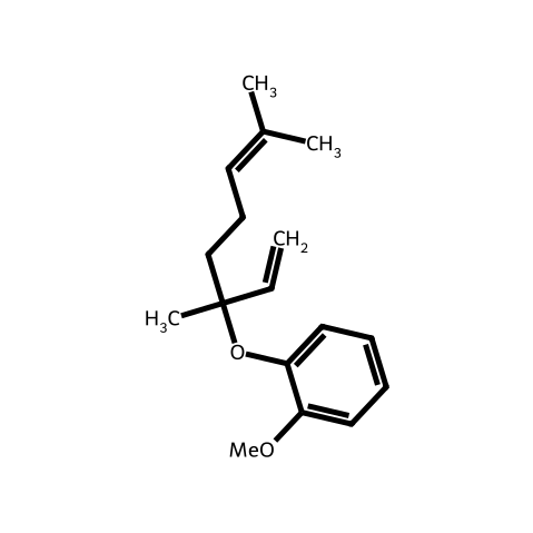 C=CC(C)(CCC=C(C)C)Oc1ccccc1OC